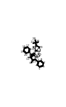 CC1=C(c2ccccc2)[P@@]2(=S)C[C@@]1(C)[C@@H](c1ccccc1)[C@@H]2C1=NC(C(C)(C)C)CO1